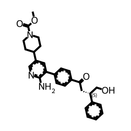 COC(=O)N1CCC(c2cnc(N)c(-c3ccc(C(=O)C[C@H](CO)c4ccccc4)cc3)c2)CC1